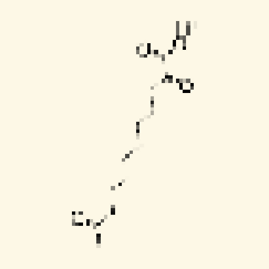 CC(=O)CCCCCCCCC(=O)C(=O)[O-].[Li+]